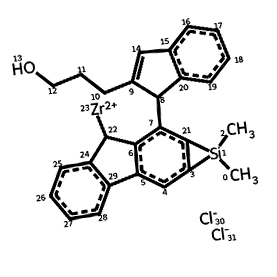 C[Si]1(C)c2cc3c(c(C4C(CCCO)=Cc5ccccc54)c21)[CH]([Zr+2])c1ccccc1-3.[Cl-].[Cl-]